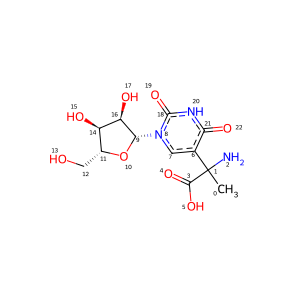 CC(N)(C(=O)O)c1cn([C@@H]2O[C@H](CO)[C@@H](O)[C@H]2O)c(=O)[nH]c1=O